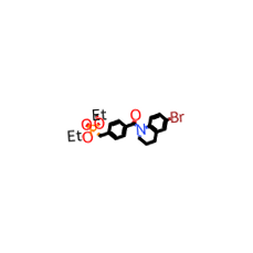 CCOP(=O)(Cc1ccc(C(=O)N2CCCc3cc(Br)ccc32)cc1)OCC